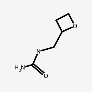 NC(=O)[N]CC1CCO1